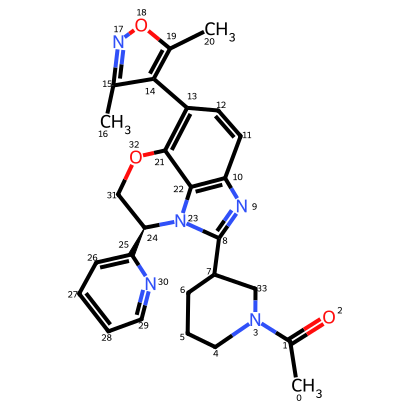 CC(=O)N1CCCC(c2nc3ccc(-c4c(C)noc4C)c4c3n2[C@@H](c2ccccn2)CO4)C1